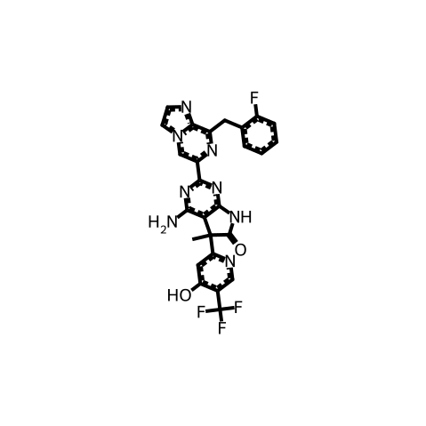 CC1(c2cc(O)c(C(F)(F)F)cn2)C(=O)Nc2nc(-c3cn4ccnc4c(Cc4ccccc4F)n3)nc(N)c21